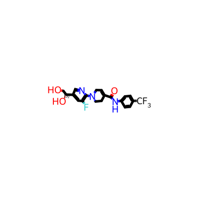 O=C(Nc1ccc(C(F)(F)F)cc1)C1=CCN(c2ncc([C@H](O)CO)cc2F)CC1